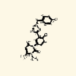 Cn1c(C(F)(F)F)cc(=O)n(-c2ccc(Cl)c(-c3nnn(Cc4ccc(Cl)cc4)n3)c2)c1=O